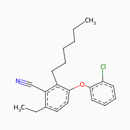 CCCCCCc1c(Oc2ccccc2Cl)ccc(CC)c1C#N